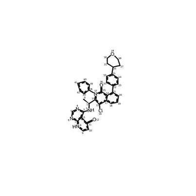 C[C@H](Nc1ncnc2[nH]ccc(=O)c12)c1c(Cl)c2cccc(-c3ccc(C4CCOCC4)cc3)c2c(=O)n1-c1ccccc1